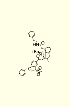 C[C@H](Cc1cccc(CC(=O)NCCc2ccccc2)c1)NC[C@H](O[Si](C)(C)C(C)(C)C)c1ccc(OCc2ccccc2)c(NS(C)(=O)=O)c1